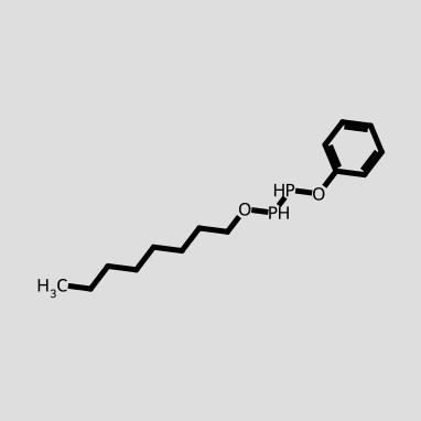 CCCCCCCCOPPOc1ccccc1